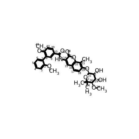 COc1ccccc1-c1cc(C(=O)Nc2cc3ccc(O[C@@H]4OC(C)(C)[C@H](OC)[C@@H](O)[C@@H]4O)c(C)c3oc2=O)ccc1OC